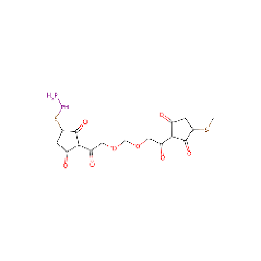 CSC1CC(=O)C(C(=O)COCOCC(=O)C2C(=O)CC(SPP)C2=O)C1=O